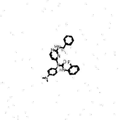 C[C@H](Nc1nccc(N(C(=O)Nc2ccccc2F)c2ccc(N(C)C)cc2)n1)c1ccccc1